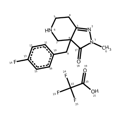 CN1N=C2CCNCC2(Cc2ccc(F)cc2)C1=O.O=C(O)C(F)(F)F